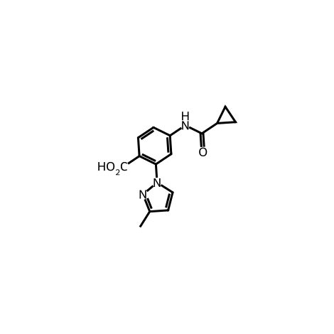 Cc1ccn(-c2cc(NC(=O)C3CC3)ccc2C(=O)O)n1